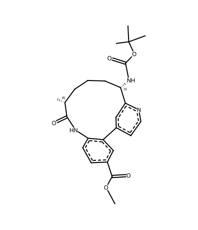 COC(=O)c1ccc2c(c1)-c1ccnc(c1)[C@@H](NC(=O)OC(C)(C)C)CCC[C@@H](C)C(=O)N2